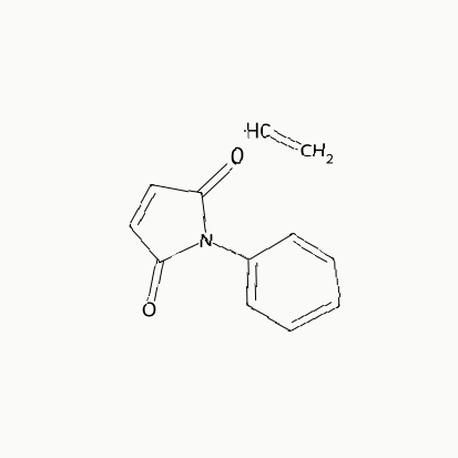 O=C1C=CC(=O)N1c1ccccc1.[CH]=C